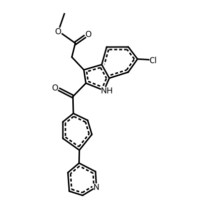 COC(=O)Cc1c(C(=O)c2ccc(-c3cccnc3)cc2)[nH]c2cc(Cl)ccc12